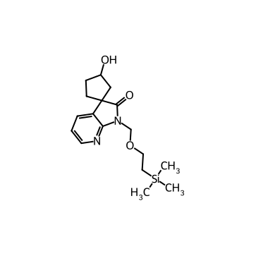 C[Si](C)(C)CCOCN1C(=O)C2(CCC(O)C2)c2cccnc21